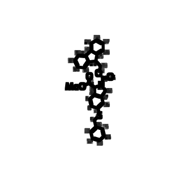 COC(=O)C1c2ccc(SCc3ccccc3)cc2CN1C(=O)OCC1c2ccccc2-c2ccccc21